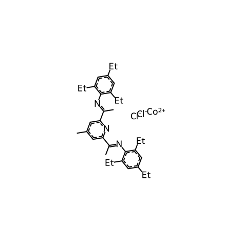 CCc1cc(CC)c(N=C(C)c2cc(C)cc(C(C)=Nc3c(CC)cc(CC)cc3CC)n2)c(CC)c1.[Cl-].[Cl-].[Co+2]